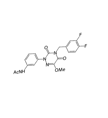 COc1nn(-c2cccc(NC(C)=O)c2)c(=O)n(Cc2ccc(F)c(F)c2)c1=O